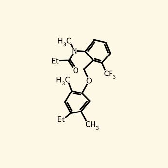 CCC(=O)N(C)c1cccc(C(F)(F)F)c1COc1cc(C)c(CC)cc1C